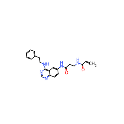 C=CC(=O)NCCC(=O)Nc1ccc2ncnc(NCCc3ccccc3)c2c1